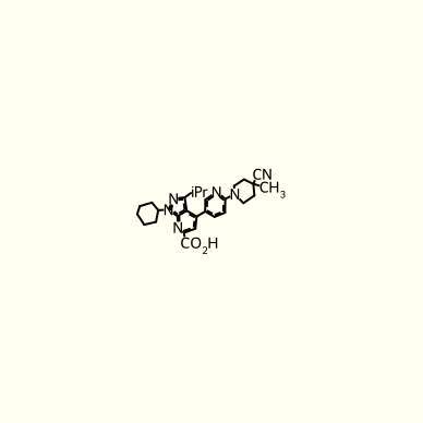 CC(C)c1nn(C2CCCCC2)c2nc(C(=O)O)cc(-c3ccc(N4CCC(C)(C#N)CC4)nc3)c12